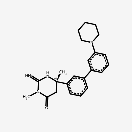 CN1C(=N)N[C@](C)(c2cccc(-c3cccc(N4CCCCC4)c3)c2)CC1=O